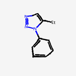 CCc1cnnn1-c1ccccc1